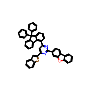 c1ccc(C2(c3ccccc3)c3ccccc3-c3c(-c4cc(-c5cc6ccccc6s5)nc(-c5ccc6c(c5)oc5ccccc56)n4)cccc32)cc1